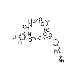 COc1ccc(C[C@H]2NC(=O)/C=C/C[C@@H]([C@H](C)[C@H]3O[C@@H]3c3ccc(CNCC(C)(C)S)cc3)OC(=O)[C@H](CC(C)C)OC(=O)C(C)(C)CNC2=O)cc1Cl